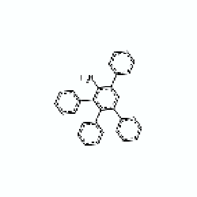 Nc1c(-c2ccccc2)cc(-c2ccccc2)c(-c2ccccc2)c1-c1ccccc1